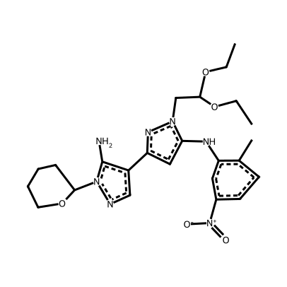 CCOC(Cn1nc(-c2cnn(C3CCCCO3)c2N)cc1Nc1cc([N+](=O)[O-])ccc1C)OCC